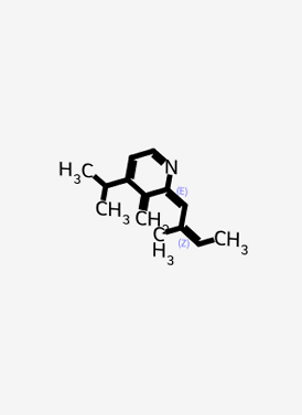 C=c1c(C(C)C)ccn/c1=C/C(C)=C\C